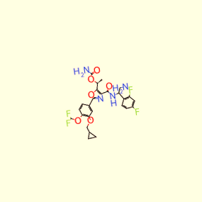 C[C@H](OC(N)=O)c1oc(-c2ccc(OC(F)F)c(OCC3CC3)c2)nc1C(=O)NC(CN)c1ccc(F)cc1F